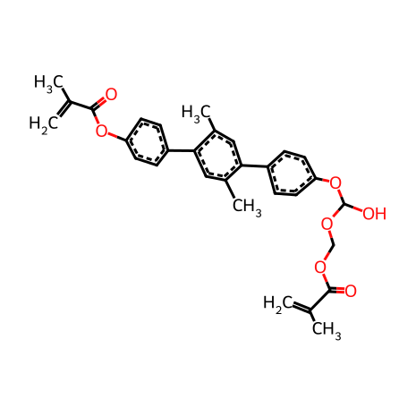 C=C(C)C(=O)OCOC(O)Oc1ccc(-c2cc(C)c(-c3ccc(OC(=O)C(=C)C)cc3)cc2C)cc1